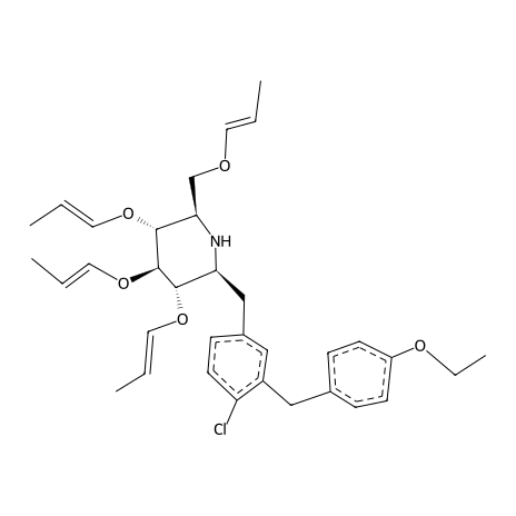 CC=COC[C@H]1N[C@@H](Cc2ccc(Cl)c(Cc3ccc(OCC)cc3)c2)[C@H](OC=CC)[C@@H](OC=CC)[C@@H]1OC=CC